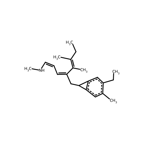 CC/C(C)=C(C)/C(=C\C=C/NC)CC1c2cc(C)c(CC)cc21